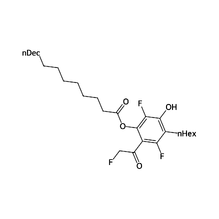 CCCCCCCCCCCCCCCCCC(=O)Oc1c(F)c(O)c(CCCCCC)c(F)c1C(=O)CF